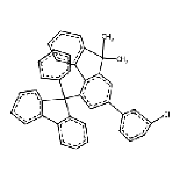 CC1(C)c2ccccc2-c2c1cc(-c1cccc(Cl)c1)cc2C1(c2ccccc2)c2ccccc2-c2ccccc21